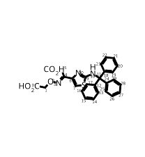 O=C(O)CO/N=C(\C(=O)O)c1csc(NC(c2ccccc2)(c2ccccc2)c2ccccc2)n1